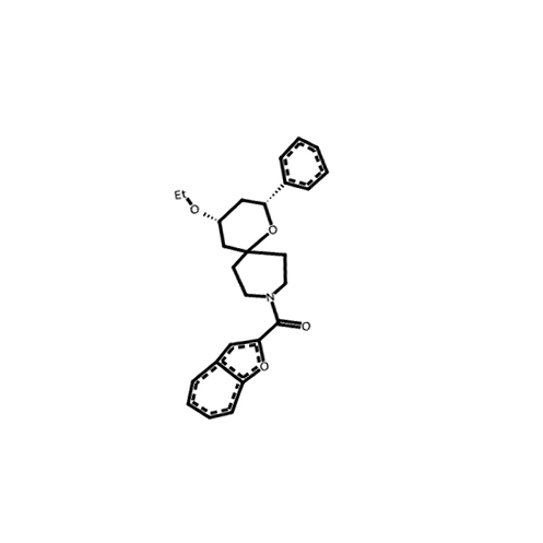 CCO[C@@H]1C[C@H](c2ccccc2)OC2(CCN(C(=O)c3cc4ccccc4o3)CC2)C1